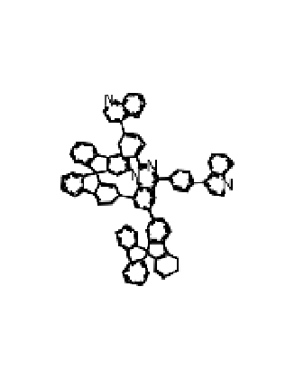 C1=CC2=C(CC1)c1ccc(-c3cc(C4C=C5C(=CC4)c4ccccc4C54c5ccccc5-c5ccccc54)c4nc(C5=CC=C(c6ccnc7ccccc67)CC5)nc(-c5ccc(-c6ccnc7ccccc67)cc5)c4c3)cc1C21c2ccccc2-c2ccccc21